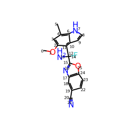 COc1cc(C)c2[nH]ccc2c1C(N)(F)c1nc2cc(C#N)ccc2o1